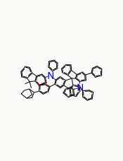 CC1(C)c2ccccc2-c2cc(N(c3ccccc3)c3cc4c(cc3-c3ccc(C5CC6CCC5C6)cc3)-c3ccccc3C43c4ccccc4-c4cc(-c5ccccc5)cc(N(c5ccccc5)c5ccccc5)c43)ccc21